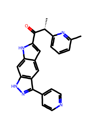 Cc1cccc([C@@H](C)C(=O)c2cc3cc4c(-c5ccncc5)n[nH]c4cc3[nH]2)n1